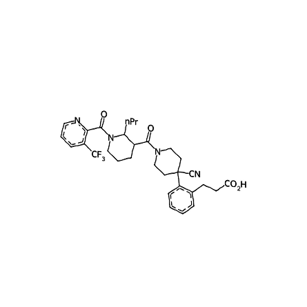 CCCC1C(C(=O)N2CCC(C#N)(c3ccccc3CCC(=O)O)CC2)CCCN1C(=O)c1ncccc1C(F)(F)F